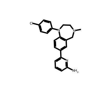 CN1CCN(c2ccc(Cl)cc2)c2ccc(-c3cccc(N)n3)cc2C1